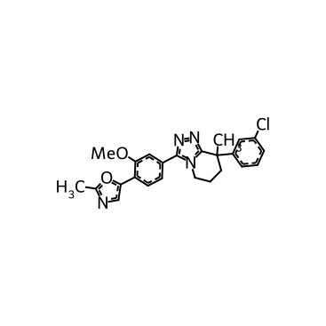 COc1cc(-c2nnc3n2CCCC3(C)c2cccc(Cl)c2)ccc1-c1cnc(C)o1